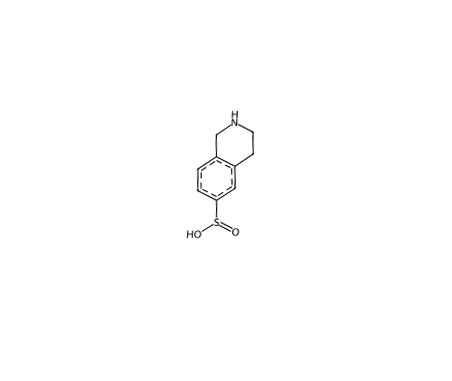 O=S(O)c1ccc2c(c1)CCNC2